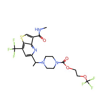 CNC(=O)c1csc2c(C(F)(F)F)cc(C(C)N3CCN(C(=O)OCCOC(F)(F)F)CC3)nc12